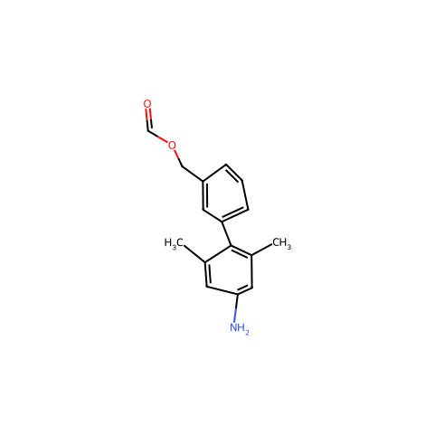 Cc1cc(N)cc(C)c1-c1cccc(COC=O)c1